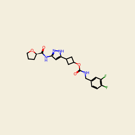 O=C(NCc1ccc(F)c(F)c1)OC1CC(c2cc(NC(=O)[C@H]3CCCO3)n[nH]2)C1